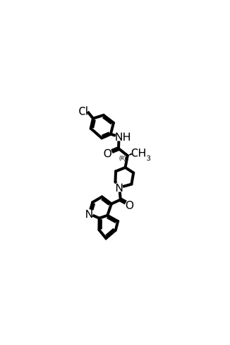 C[C@@H](C(=O)Nc1ccc(Cl)cc1)C1CCN(C(=O)c2ccnc3ccccc23)CC1